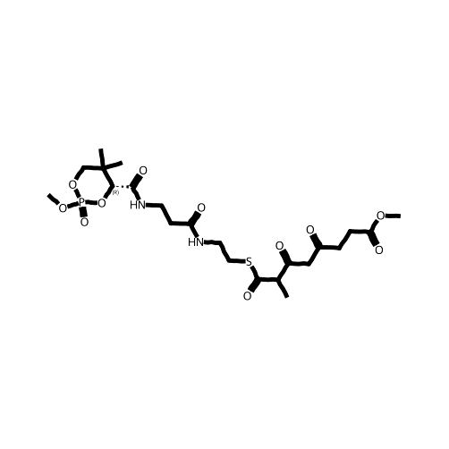 COC(=O)CCC(=O)CC(=O)C(C)C(=O)SCCNC(=O)CCNC(=O)[C@@H]1OP(=O)(OC)OCC1(C)C